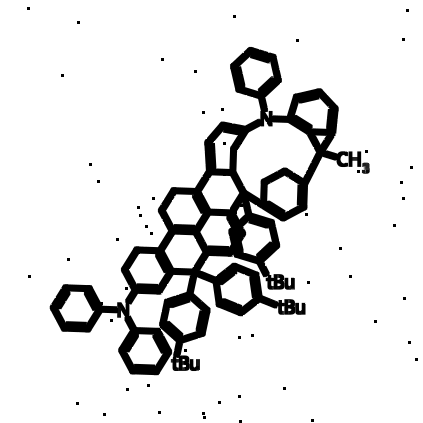 CC(C)(C)c1ccc(C2(c3ccc(C(C)(C)C)cc3)C3=C(CCC(N(c4ccccc4)c4ccccc4)=C3)C3=c4c2ccc2c4=C(CC3)C3=CC=C4CC3C2(c2ccc(C(C)(C)C)cc2)C2=CC=C(CC2)C2(C)c3cccc(c32)N4c2ccccc2)cc1